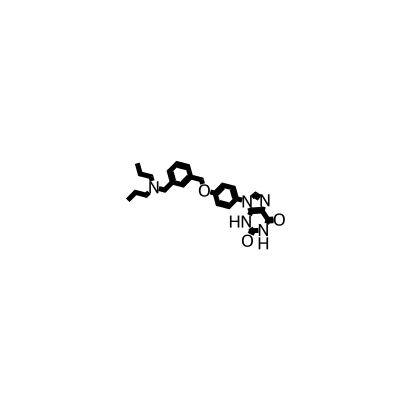 CCCN(CCC)Cc1cccc(COc2ccc(-n3cnc4c(=O)[nH]c(=O)[nH]c43)cc2)c1